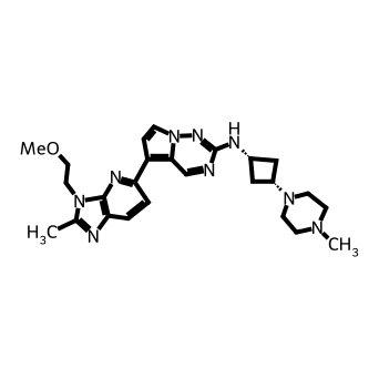 COCCn1c(C)nc2ccc(-c3ccn4nc(N[C@H]5C[C@@H](N6CCN(C)CC6)C5)ncc34)nc21